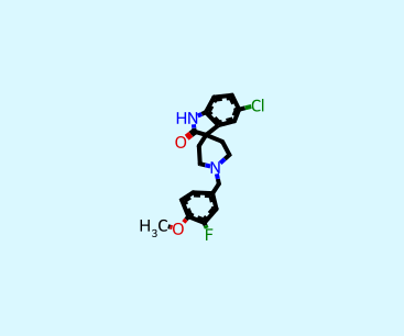 COc1ccc(CN2CCC3(CC2)C(=O)Nc2ccc(Cl)cc23)cc1F